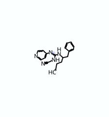 C#CCCC(Cc1ccccc1)N/C(=N/c1ccncc1)NC#N